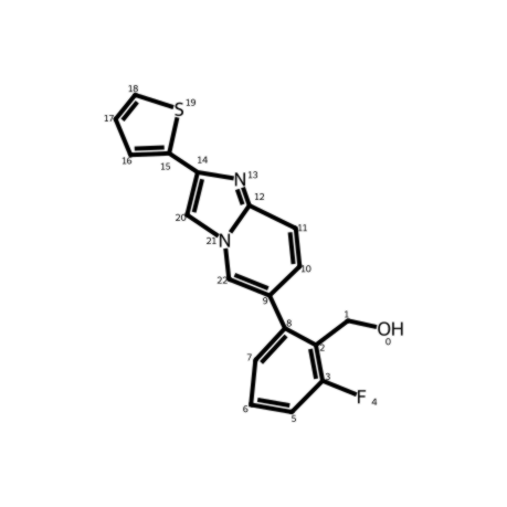 OCc1c(F)cccc1-c1ccc2nc(-c3cccs3)cn2c1